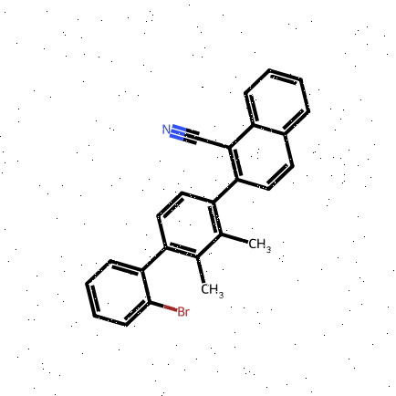 Cc1c(-c2ccccc2Br)ccc(-c2ccc3ccccc3c2C#N)c1C